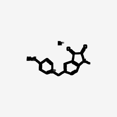 CSc1cc[n+](Cc2ccc3c(c2)C(=O)C(=O)N3C)cc1.[Br-]